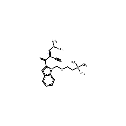 CN(C)/C=C(\C#N)C(=O)c1cc2ccccc2n1COCC[Si](C)(C)C